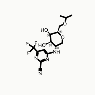 CC(C)OC[C@H]1OC[C@H](Nc2cc(C(F)(F)F)nc(C#N)n2)[C@@H](O)[C@H]1O